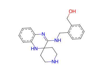 OCc1ccccc1CNC1=Nc2ccccc2NC12CCNCC2